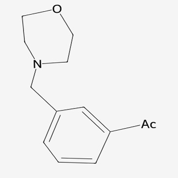 CC(=O)c1cccc(CN2CCOCC2)c1